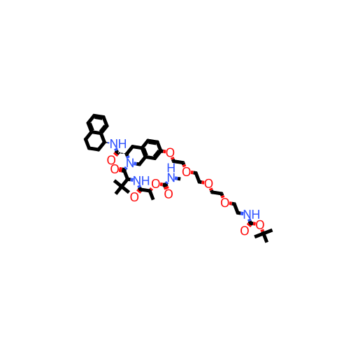 CNC(=O)OC(C)C(=O)NC(C(=O)N1Cc2cc(OCCOCCOCCOCCNC(=O)OC(C)(C)C)ccc2C[C@H]1C(=O)N[C@@H]1CCCc2ccccc21)C(C)(C)C